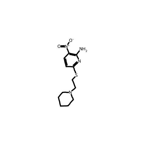 Nc1nc(SCCN2CCCCC2)ccc1[N+](=O)[O-]